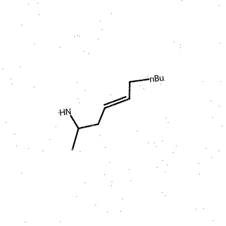 CCCCC/C=C/CC(C)[NH]